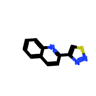 c1ccc2nc(-c3csnn3)ccc2c1